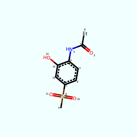 CCC(=O)Nc1ccc(S(C)(=O)=O)cc1O